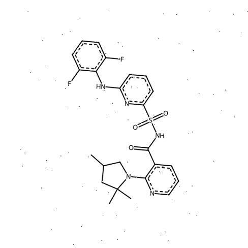 CC1CN(c2ncccc2C(=O)NS(=O)(=O)c2cccc(Nc3c(F)cccc3F)n2)C(C)(C)C1